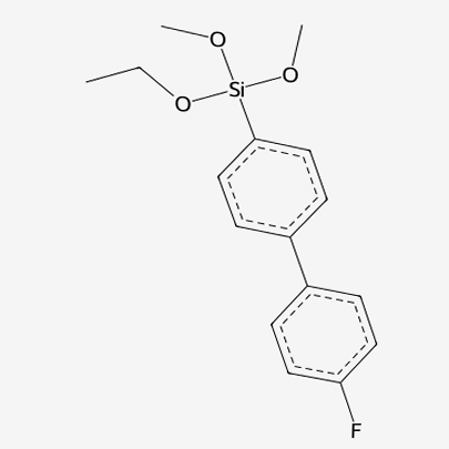 CCO[Si](OC)(OC)c1ccc(-c2ccc(F)cc2)cc1